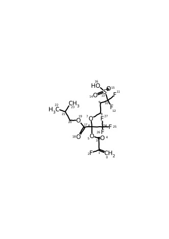 C=C(F)C(=O)OC(OCCC(F)(F)S(=O)(=O)O)(C(=O)OCC(C)C)C(F)(F)F